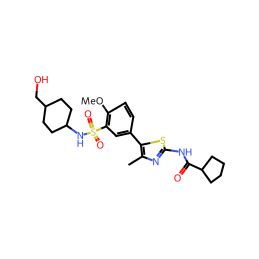 COc1ccc(-c2sc(NC(=O)C3CCCC3)nc2C)cc1S(=O)(=O)NC1CCC(CO)CC1